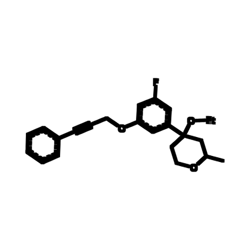 CCOC1(c2cc(F)cc(OCC#Cc3ccccc3)c2)CCOC(C)C1